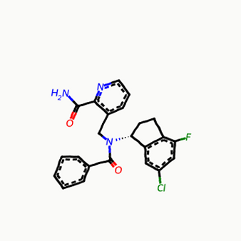 NC(=O)c1ncccc1CN(C(=O)c1ccccc1)[C@@H]1CCc2c(F)cc(Cl)cc21